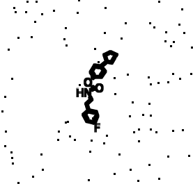 O=C(NCCc1ccc(F)cc1)Oc1ccc(C2CCCC2)cc1